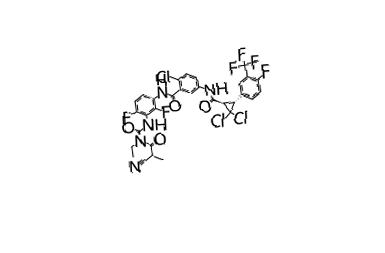 CCN(C(=O)Nc1c(F)ccc(NC(=O)c2cc(NC(=O)[C@H]3[C@H](c4ccc(F)c(C(F)(F)F)c4)C3(Cl)Cl)ccc2Cl)c1F)C(=O)C(C)C#N